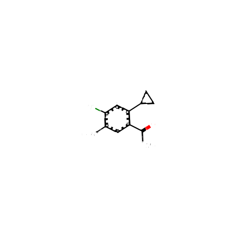 COC(=O)c1cc([N+](=O)[O-])c(F)cc1C1CC1